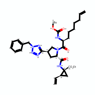 C=CCCCCC[C@H](NC(=O)OC(C)(C)C)C(=O)N1C[C@H](c2nnn(Cc3ccccc3)n2)C[C@H]1C(=O)N[C@]1(C(=O)OCC)C[C@H]1C=C